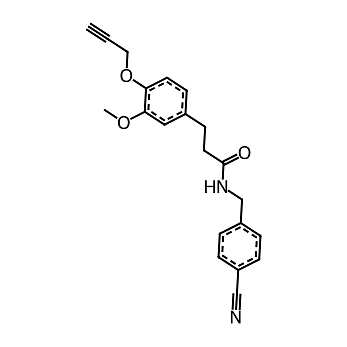 C#CCOc1ccc(CCC(=O)NCc2ccc(C#N)cc2)cc1OC